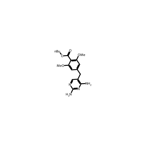 CCCCOC(=O)c1c(OC)cc(Cc2cnc(N)nc2N)cc1OC